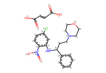 O=C(O)/C=C/C(=O)O.O=[N+]([O-])c1ccc(Cl)cc1NC(CCN1CCOCC1)c1ccccc1